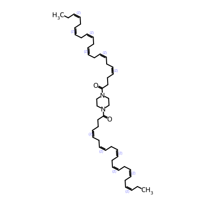 CC/C=C\C/C=C\C/C=C\C/C=C\C/C=C\C/C=C\CCC(=O)N1CCN(C(=O)CC/C=C\C/C=C\C/C=C\C/C=C\C/C=C\C/C=C\CC)CC1